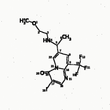 COCCNC(C)c1cc(C(F)(F)F)c2ncc(I)c(=O)n2c1